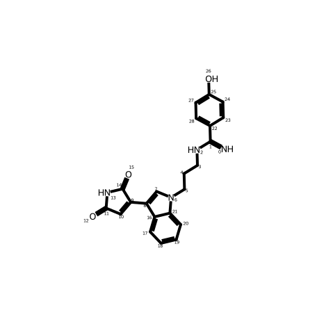 N=C(NCCCn1cc(C2=CC(=O)NC2=O)c2ccccc21)c1ccc(O)cc1